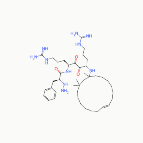 CC1(C)CCCCCC/C=C/CCCCCCC(C)(N[C@@H](CCCNC(=N)N)C(=O)C(=O)[C@H](CCCNC(=N)N)NC(=O)[C@H](Cc2ccccc2)NN)C1